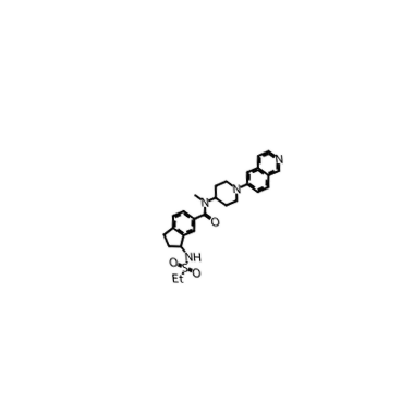 CCS(=O)(=O)NC1CCc2ccc(C(=O)N(C)C3CCN(c4ccc5cnccc5c4)CC3)cc21